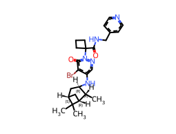 C[C@@H]1[C@H]2C[C@@H](C[C@H]1Nc1cnn(C3(C(=O)NCc4ccncc4)CCC3)c(=O)c1Br)C2(C)C